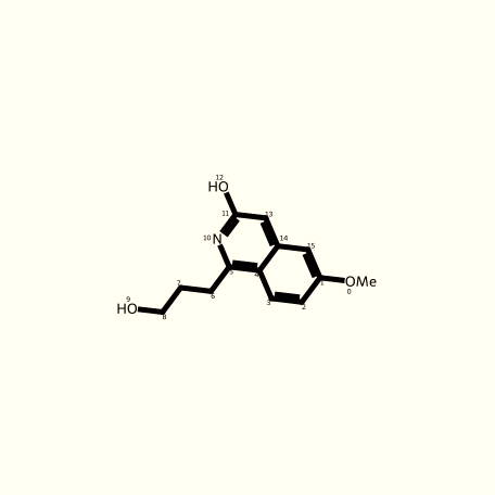 COc1ccc2c(CCCO)nc(O)cc2c1